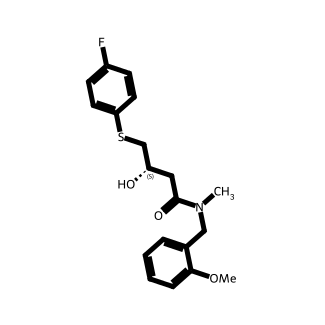 COc1ccccc1CN(C)C(=O)C[C@H](O)CSc1ccc(F)cc1